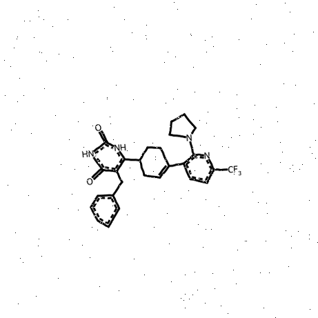 O=c1[nH]c(C2CC=C(c3ccc(C(F)(F)F)nc3N3CCCC3)CC2)c(Cc2ccccc2)c(=O)[nH]1